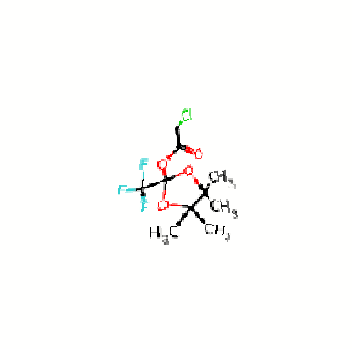 CC1(C)OC(OC(=O)CCl)(C(F)(F)F)OC1(C)C